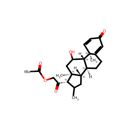 CC1C[C@H]2[C@@H]3CCC4=CC(=O)C=C[C@]4(C)[C@H]3C(O)C[C@]2(C)[C@H]1C(=O)COC(=O)C(C)(C)C